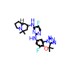 CC1(C)Oc2c(F)cc(Nc3ncc(F)c(N[C@@H]4C[C@@H]5CCCN5C(C)(C)C4)n3)cc2-n2nnnc21